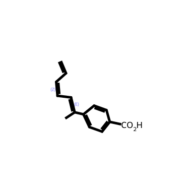 C=C/C=C\C=C(/C)c1ccc(C(=O)O)cc1